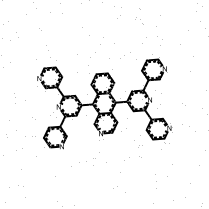 c1cncc(-c2cc(-c3c4ccccc4c(-c4cc(-c5cccnc5)nc(-c5cccnc5)c4)c4cnccc34)cc(-c3cccnc3)n2)c1